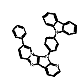 c1ccc(-c2ccc3nc4c5cccnc5n(-c5ccc(-n6c7ccccc7c7ccccc76)cc5)c4n3c2)cc1